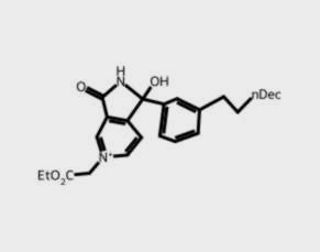 CCCCCCCCCCCCc1cccc(C2(O)NC(=O)c3c[n+](CC(=O)OCC)ccc32)c1